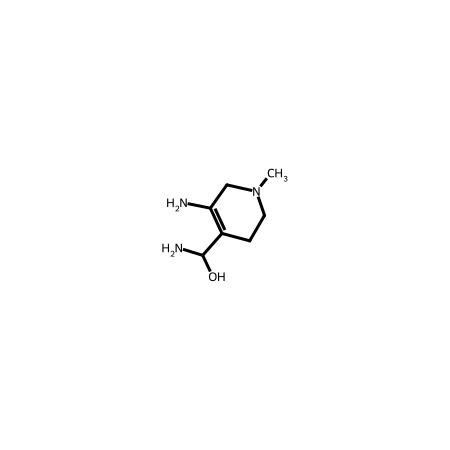 CN1CCC(C(N)O)=C(N)C1